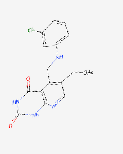 CC(=O)OCc1cnc2[nH]c(=O)[nH]c(=O)c2c1CNc1cccc(Cl)c1